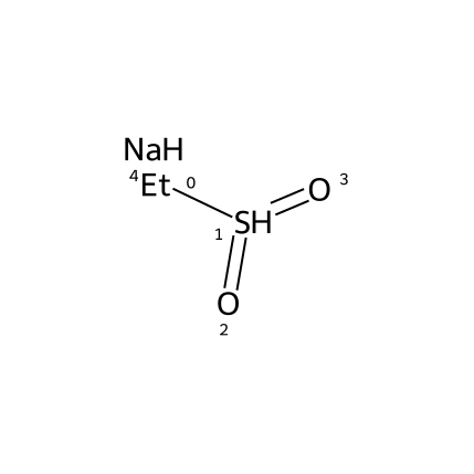 [CH2]C[SH](=O)=O.[NaH]